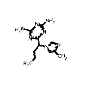 CCCC(c1nc(N)nc(N)n1)n1cnc(C)c1